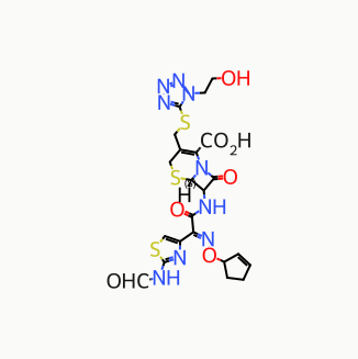 O=CNc1nc(C(=NOC2C=CCC2)C(=O)NC2C(=O)N3C(C(=O)O)=C(CSc4nnnn4CCO)CS[C@@H]23)cs1